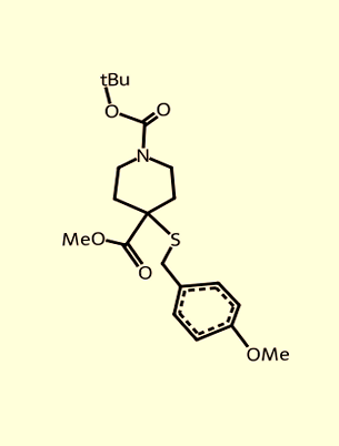 COC(=O)C1(SCc2ccc(OC)cc2)CCN(C(=O)OC(C)(C)C)CC1